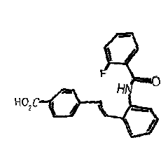 O=C(O)c1ccc(C=Cc2ccccc2NC(=O)c2ccccc2F)cc1